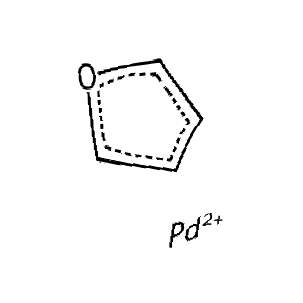 [Pd+2].c1ccoc1